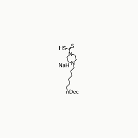 CCCCCCCCCCCCCCCCN1CCN(C(=S)S)CC1.[NaH]